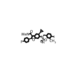 CNC(=O)c1c(-c2ccc(F)cc2)oc2cc(N(Cc3ccc(I)c(C)c3)[SH](=O)=O)c(C3CC3)cc12